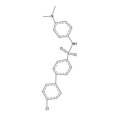 CN(C)c1ccc(NS(=O)(=O)c2ccc(-c3ccc(Cl)cc3)cc2)cc1